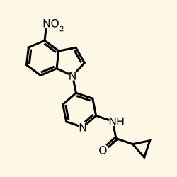 O=C(Nc1cc(-n2ccc3c([N+](=O)[O-])cccc32)ccn1)C1CC1